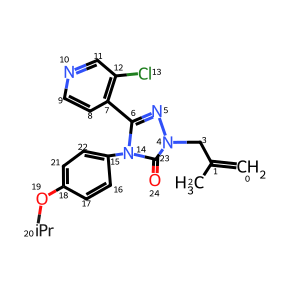 C=C(C)Cn1nc(-c2ccncc2Cl)n(-c2ccc(OC(C)C)cc2)c1=O